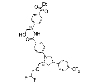 CCS(=O)(=O)c1ccc([C@H](CO)NC(=O)c2ccc(N3CC(c4ccc(C(F)(F)F)cc4)C[C@H]3COCC(F)F)cc2)cc1